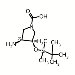 CC(C)(C)[Si](C)(C)O[C@@H]1CN(C(=O)O)C[C@@H]1N